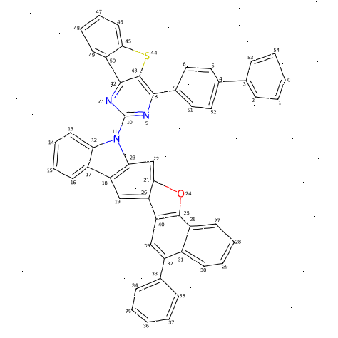 c1ccc(-c2ccc(-c3nc(-n4c5ccccc5c5cc6c(cc54)oc4c5ccccc5c(-c5ccccc5)cc64)nc4c3sc3ccccc34)cc2)cc1